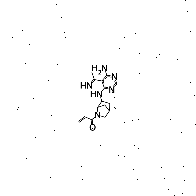 C=CC(=O)N1CC2CC(Nc3ncnc(N)c3C(C)=N)C1C2